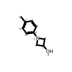 Cc1ccc(N2CC(O)C2)cc1